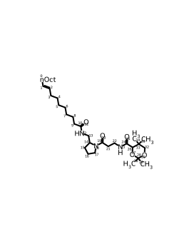 CCCCCCCC/C=C/CCCCCCCC(=O)NCC1CCCN1C(=O)CCNC(=O)C1OC(C)(C)OCC1(C)C